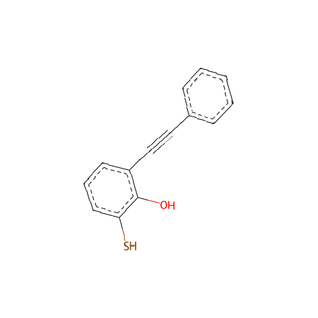 Oc1c(S)cccc1C#Cc1ccccc1